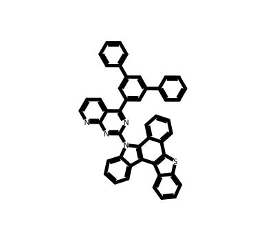 c1ccc(-c2cc(-c3ccccc3)cc(-c3nc(-n4c5ccccc5c5c6c7ccccc7sc6c6ccccc6c54)nc4ncccc34)c2)cc1